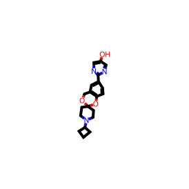 Oc1cnc(-c2ccc3c(c2)COC2(CCN(C4CCC4)CC2)O3)nc1